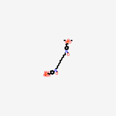 CCOP(=O)(C=Cc1ccc(N(C=O)CCCCCCCCCCCCCN(C=O)c2ccc(C=CP(=O)(O)O)cc2)cc1)OCC